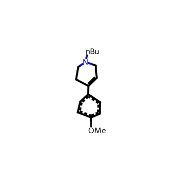 [CH2]CCCN1CC=C(c2ccc(OC)cc2)CC1